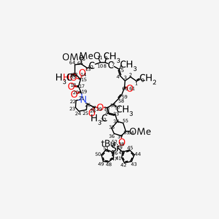 C=CCC1/C=C(\C)CC(C)C(OC)CC2OC(O)(C(=O)C(=O)N3CCCCC3C(=O)OC(C(C)=CC3CCC(O[Si](c4ccccc4)(c4ccccc4)C(C)(C)C)C(OC)C3)C(C)/C=C/C1=O)C(C)CC2OC